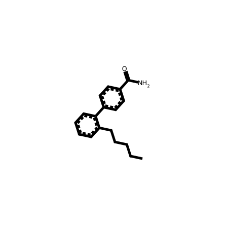 CCCCCc1ccccc1-c1ccc(C(N)=O)cc1